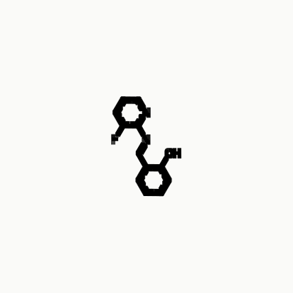 Oc1ccccc1C=Nc1ncccc1F